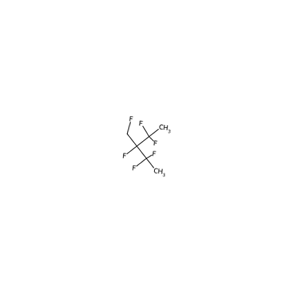 CC(F)(F)C(F)(CF)C(C)(F)F